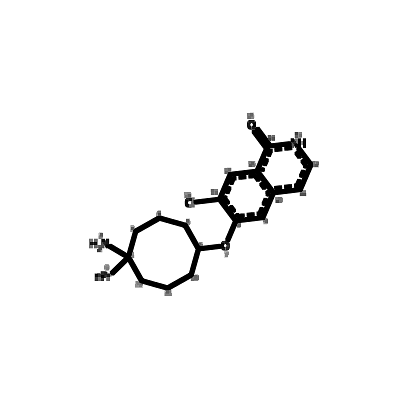 CCCC1(N)CCCC(Oc2cc3cc[nH]c(=O)c3cc2Cl)CCC1